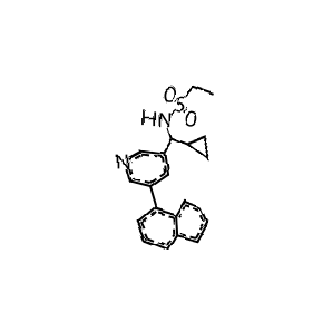 CCS(=O)(=O)NC(c1cncc(-c2cccc3ccccc23)c1)C1CC1